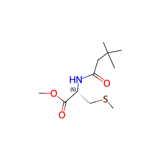 COC(=O)[C@@H](CSC)NC(=O)CC(C)(C)C